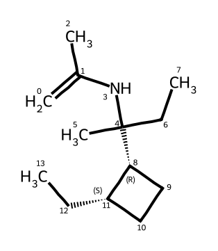 C=C(C)NC(C)(CC)[C@@H]1CC[C@@H]1CC